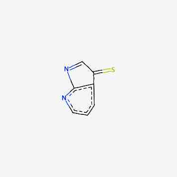 S=C1C=Nc2ncccc21